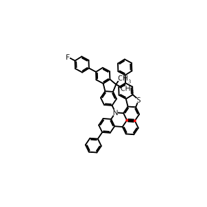 CC1(C)c2ccc(-c3ccc(F)cc3)cc2-c2ccc(N(c3ccc(-c4ccccc4)cc3-c3ccccc3)c3cccc4sc5cc(-c6ccccc6)ccc5c34)cc21